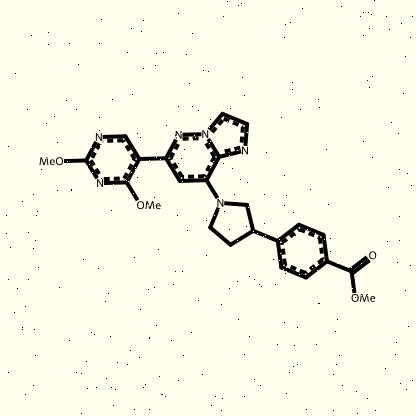 COC(=O)c1ccc(C2CCN(c3cc(-c4cnc(OC)nc4OC)nn4ccnc34)C2)cc1